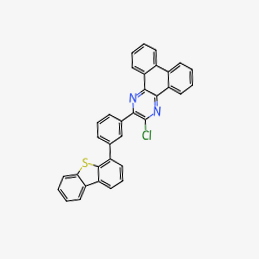 Clc1nc2c3ccccc3c3ccccc3c2nc1-c1cccc(-c2cccc3c2sc2ccccc23)c1